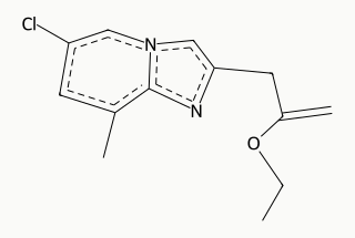 C=C(Cc1cn2cc(Cl)cc(C)c2n1)OCC